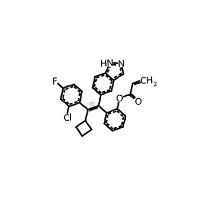 C=CC(=O)Oc1ccccc1/C(=C(/c1ccc(F)cc1Cl)C1CCC1)c1ccc2[nH]ncc2c1